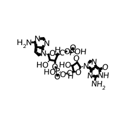 Nc1nc2c(ncn2[C@@H]2O[C@@H]3COP(=O)(O)OC4[C@@H](COP(=O)(O)OC2C3O)O[C@@H](n2ccc3c(N)ncnc32)[C@H]4O)c(=O)[nH]1